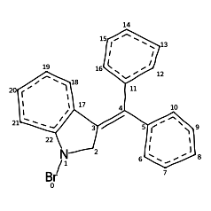 BrN1CC(=C(c2ccccc2)c2ccccc2)c2ccccc21